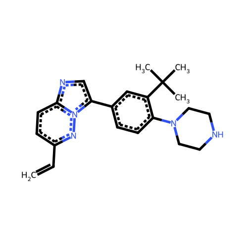 C=Cc1ccc2ncc(-c3ccc(N4CCNCC4)c(C(C)(C)C)c3)n2n1